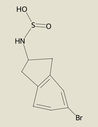 O=S(O)NC1Cc2ccc(Br)cc2C1